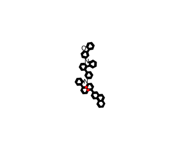 C1=Cc2c(ccc3cc(-c4ccc(N(c5cccc(-c6cccc7c6c6ccccc6n7-c6ccc7oc8ccccc8c7c6)c5)c5ccccc5-c5ccccc5)cc4)ccc23)CC1